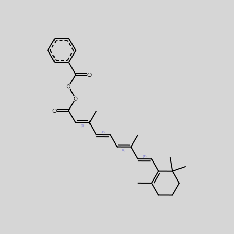 CC1=C(/C=C/C(C)=C/C=C/C(C)=C/C(=O)OOC(=O)c2ccccc2)C(C)(C)CCC1